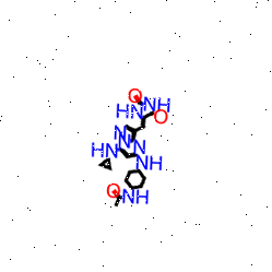 CC(=O)N[C@H]1CC[C@H](Nc2cc(NC3CC3)n3ncc(/C=C4\NC(=O)NC4=O)c3n2)CC1